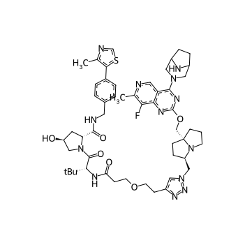 Cc1ncsc1-c1ccc(CNC(=O)[C@H]2C[C@H](O)CN2C(=O)[C@H](NC(=O)CCOCCc2cn(C[C@H]3CC[C@@]4(COc5nc(N6CC7CCC(C6)N7)c6cnc(C)c(F)c6n5)CCCN34)nn2)C(C)(C)C)cc1